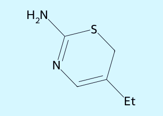 CCC1=CN=C(N)SC1